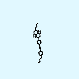 C=CCCc1ccc(C#Cc2ccc([C@@H]3CC[C@@H]4CC(CCCC)CC[C@@H]4C3)cc2)cc1